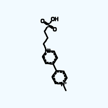 C[n+]1ccc(-c2cc[n+](CCCS(=O)(=O)O)cc2)cc1